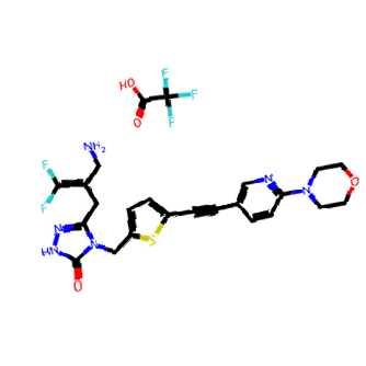 NCC(Cc1n[nH]c(=O)n1Cc1ccc(C#Cc2ccc(N3CCOCC3)nc2)s1)=C(F)F.O=C(O)C(F)(F)F